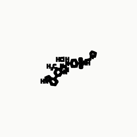 Cc1cc(-c2cccc3[nH]ccc23)cc2nnc(Nc3ccc(S(=O)(=O)NCCN4CCCC4)cc3)nc12.Cl